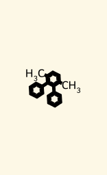 Cc1ccc(C)c(-c2ccccc2)c1-c1ccccc1